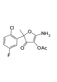 CC(=O)OC1=C(N)OC(C)(c2cc(F)ccc2Cl)C1=O